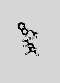 O=C(S)C[C@@H]1c2ccccc2C[C@H]1NC(=O)c1cc2sc(Cl)c(Cl)c2[nH]1